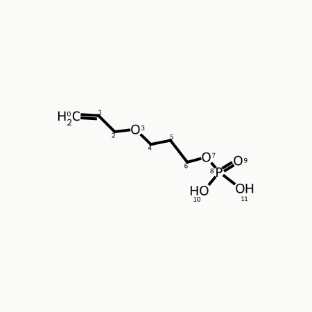 C=CCO[CH]CCOP(=O)(O)O